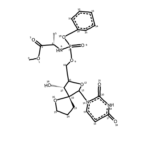 COC(=O)[C@H](C)NP(=O)(OCC1OC(n2ccc(=O)[nH]c2=O)[C@@]2(CCCO2)[C@@H]1O)Oc1ccccc1